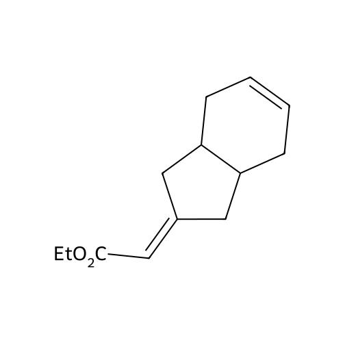 CCOC(=O)C=C1CC2CC=CCC2C1